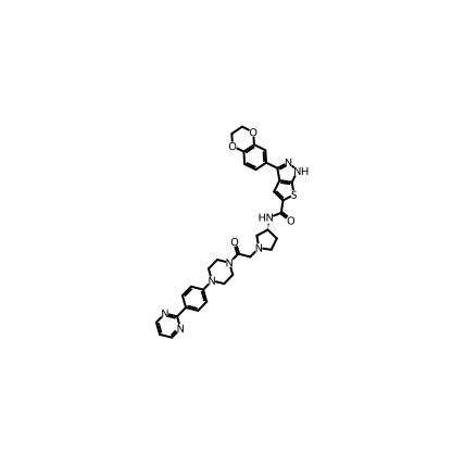 O=C(N[C@@H]1CCN(CC(=O)N2CCN(c3ccc(-c4ncccn4)cc3)CC2)C1)c1cc2c(-c3ccc4c(c3)OCCO4)n[nH]c2s1